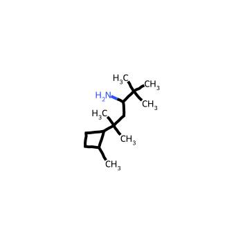 CC1CCC1C(C)(C)CC(N)C(C)(C)C